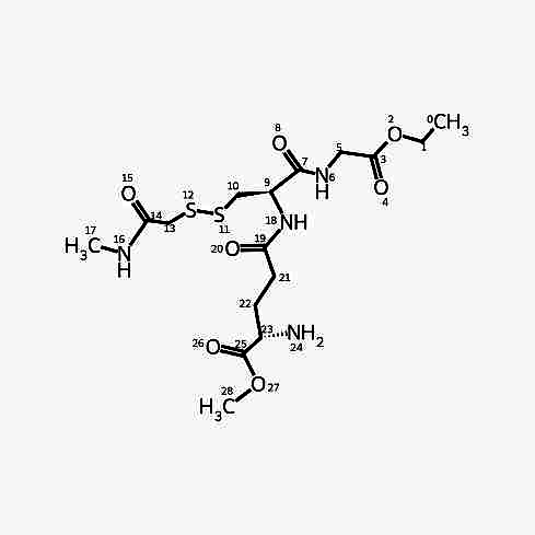 CCOC(=O)CNC(=O)[C@H](CSSCC(=O)NC)NC(=O)CC[C@H](N)C(=O)OC